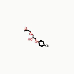 N#Cc1ccc(OCC(O)COCC2CO2)cc1